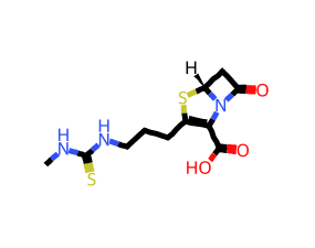 CNC(=S)NCCCC1=C(C(=O)O)N2C(=O)C[C@H]2S1